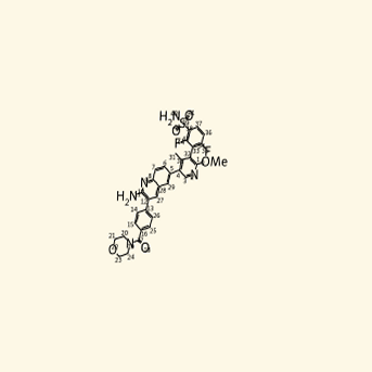 COc1ncc(-c2ccc3nc(N)c(-c4ccc(C(=O)N5CCOCC5)cc4)cc3c2)c(C)c1-c1c(F)ccc(S(N)(=O)=O)c1F